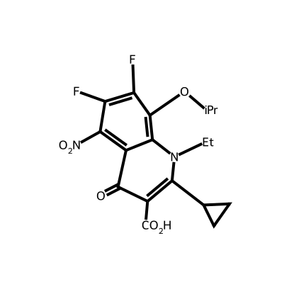 CCn1c(C2CC2)c(C(=O)O)c(=O)c2c([N+](=O)[O-])c(F)c(F)c(OC(C)C)c21